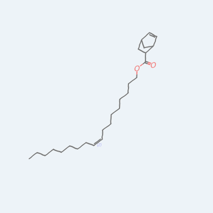 CCCCCCCC/C=C\CCCCCCCCOC(=O)C1CC2C=CC1C2